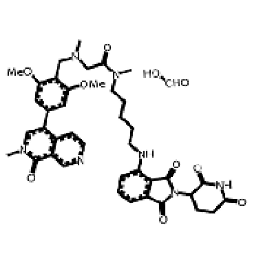 COc1cc(-c2cn(C)c(=O)c3cnccc23)cc(OC)c1CN(C)CC(=O)N(C)CCCCCNc1cccc2c1C(=O)N(C1CCC(=O)NC1=O)C2=O.O=CO